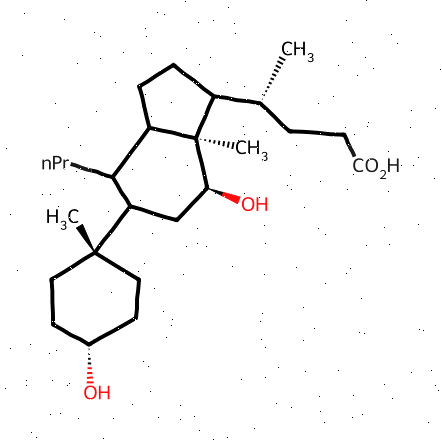 CCCC1C2CCC([C@H](C)CCC(=O)O)[C@@]2(C)[C@@H](O)CC1[C@]1(C)CC[C@H](O)CC1